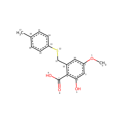 COc1cc(O)c(C(=O)O)c(CSc2ccc(C)cc2)c1